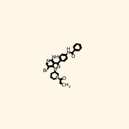 C=CC(=O)N1CCCC(n2nc(-c3ccc(NC(=O)c4ccccc4)cc3)c3c(N)ncc(Br)c32)C1